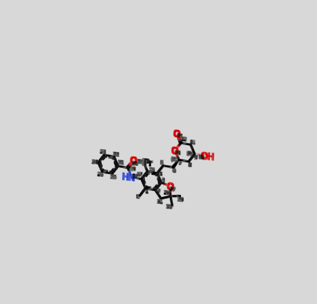 Cc1c2c(c(CC[C@@H]3C[C@@H](O)CC(=O)O3)c(C(C)C)c1NC(=O)c1ccccc1)OC(C)(C)C2